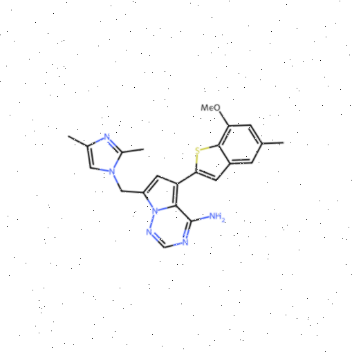 COc1cc(C)cc2cc(-c3cc(Cn4cc(C)nc4C)n4ncnc(N)c34)sc12